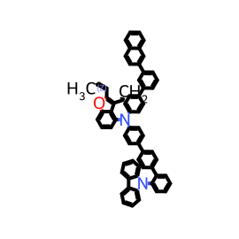 C=Cc1c(/C=C\C)oc2cccc(N(c3ccc(-c4ccc(-c5ccccc5-n5c6ccccc6c6ccccc65)cc4)cc3)c3ccc(-c4cccc(-c5ccc6ccccc6c5)c4)cc3)c12